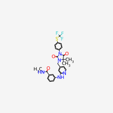 CNC(=O)c1cccc(Nc2cc(CN3C(=O)N(c4ccc(SC(F)(F)F)cc4)C(=O)C3(C)C)ccn2)c1